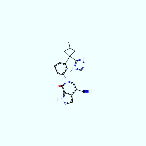 CC1CC(c2cccc(-n3cc(C#N)c4cc[nH]c4c3=O)c2)(c2nncn2C)C1